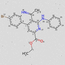 CCOC(=O)c1cc(-c2ccc(Br)cc2)c(C(C)=N)c(Nc2ccccc2)n1